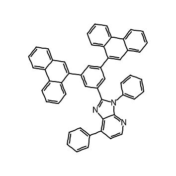 c1ccc(-c2ccnc3c2nc(-c2cc(-c4cc5ccccc5c5ccccc45)cc(-c4cc5ccccc5c5ccccc45)c2)n3-c2ccccc2)cc1